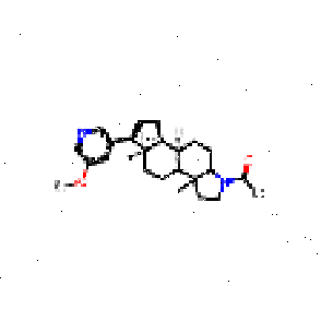 CCOc1cncc(C2=CC[C@H]3[C@@H]4CCC5N(C(=O)CC)CC[C@]5(C)C4CC[C@]23C)c1